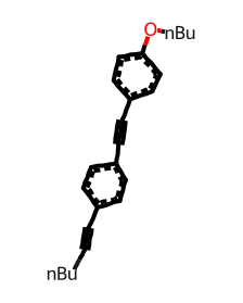 CCCCC#Cc1ccc(C#Cc2ccc(OCCCC)cc2)cc1